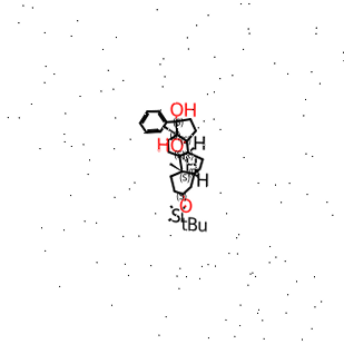 CC(C)(C)[Si](C)(C)O[C@H]1CC[C@@]2(C)[C@H](CC[C@@H]3[C@@H]2CC[C@]2(C)[C@@](O)(c4ccccc4)CC[C@]32O)C1